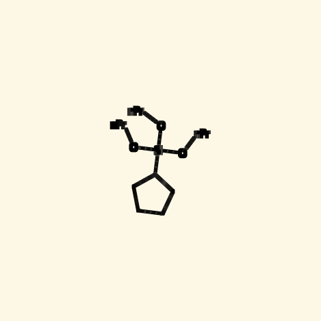 CCCO[Si](OCCC)(OCCC)C1CCCC1